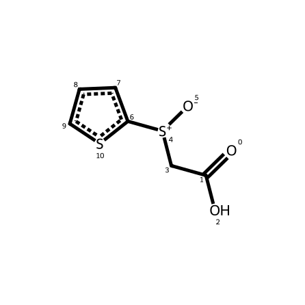 O=C(O)C[S+]([O-])c1cccs1